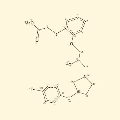 COC(=O)CCc1ccccc1OCC(O)CN1CCC(Oc2ccc(F)cc2)C1